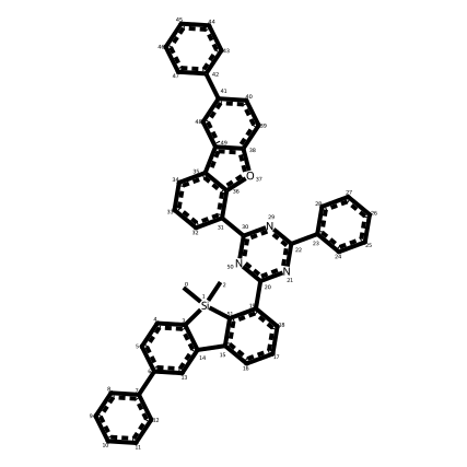 C[Si]1(C)c2ccc(-c3ccccc3)cc2-c2cccc(-c3nc(-c4ccccc4)nc(-c4cccc5c4oc4ccc(-c6ccccc6)cc45)n3)c21